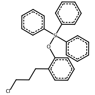 ClCCCc1ccccc1O[Si](c1ccccc1)(c1ccccc1)c1ccccc1